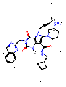 CC#CCn1c(N2CCC[C@@H](N)C2)c(C(=O)NCC2CCC2)c2c1c(=O)n(Cc1ncc3ccccc3n1)c(=O)n2C